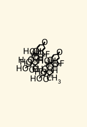 C[C@@H]1C[C@H]2[C@@H]3C[C@H](F)C4=CC(=O)C=C[C@]4(C)[C@@]3(F)[C@@H](O)C[C@]2(C)[C@@]1(O)C(=O)CO.C[C@@H]1C[C@H]2[C@@H]3C[C@H](F)C4=CC(=O)C=C[C@]4(C)[C@@]3(F)[C@@H](O)C[C@]2(C)[C@@]1(O)C(=O)CO